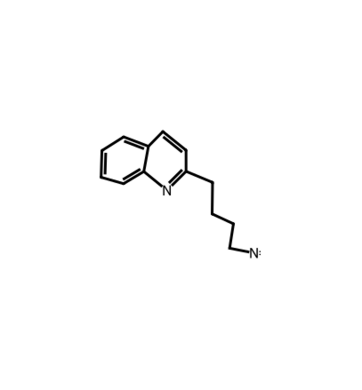 [N]CCCCc1ccc2ccccc2n1